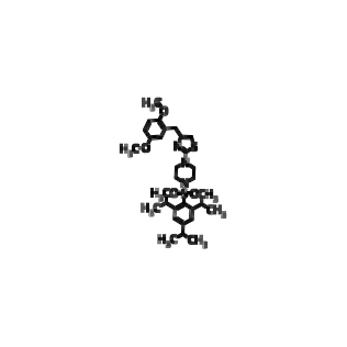 COc1ccc(OC)c(Cc2csc(N3CCN(S(=O)(=O)c4c(C(C)C)cc(C(C)C)cc4C(C)C)CC3)n2)c1